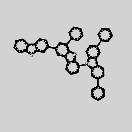 c1ccc(-c2ccc3c(c2)c2ccc(-c4ccccc4)cc2n3-c2cccc3c2sc2c(-c4ccccc4)cc(-c4ccc5c(c4)sc4ccccc45)cc23)cc1